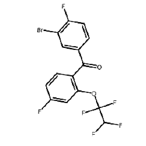 O=C(c1ccc(F)c(Br)c1)c1ccc(F)cc1OC(F)(F)C(F)F